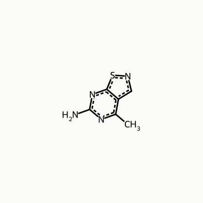 Cc1nc(N)nc2sncc12